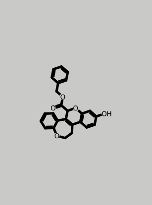 O=C(OCc1ccccc1)C1Oc2cc(O)ccc2C2=C1c1ccccc1OCC2